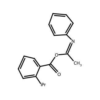 CC(=Nc1ccccc1)OC(=O)c1ccccc1C(C)C